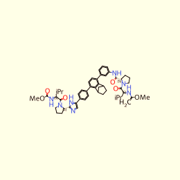 C=C(N[C@H](C(=O)N1CCC[C@H]1C(=O)Nc1cccc(-c2ccc(-c3ccc(-c4cnc([C@@H]5CCCN5C(=O)[C@@H](NC(=O)OC)C(C)C)[nH]4)cc3)c3c2C2CCC3C2)c1)C(C)C)OC